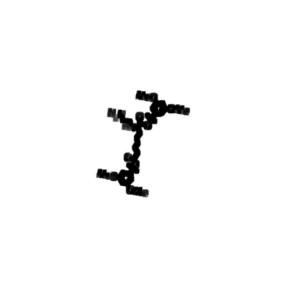 COc1cc(OC)cc(C(C)(C)OC(=O)CCCCCC(NCCN)C(=O)OC(C)(C)c2cc(OC)cc(OC)c2)c1